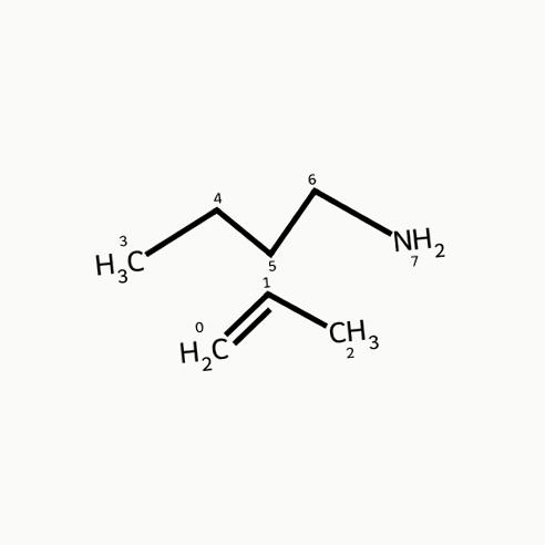 C=CC.CCCCN